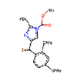 CCCCc1nc(C(=S)c2ccc(OC)cc2OC)cn1C(=O)OC(C)(C)C